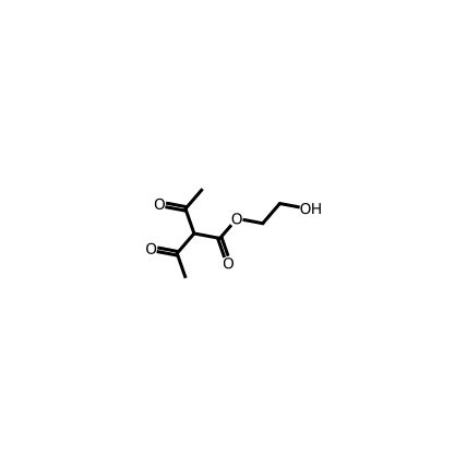 CC(=O)C(C(C)=O)C(=O)OCCO